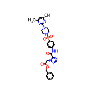 Cc1cc(C#N)nc(N2CCN(S(=O)(=O)c3ccc(NC(=O)c4ncnn4CC(=O)OCc4ccccc4)cc3)CC2)n1